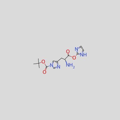 CC(C)(C)OC(=O)n1cnc(C[C@H](N)C(=O)Oc2ncc[nH]2)c1